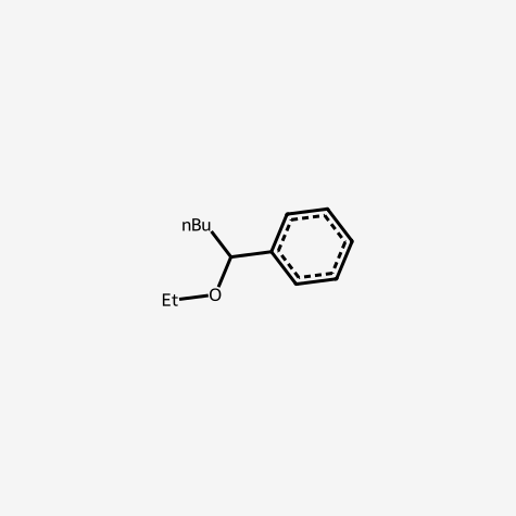 CCCCC(OCC)c1ccccc1